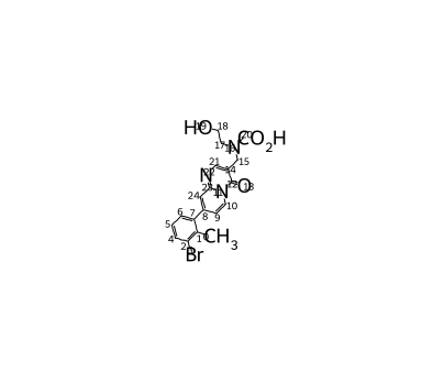 Cc1c(Br)cccc1-c1ccn2c(=O)c(CN(CCO)C(=O)O)cnc2c1